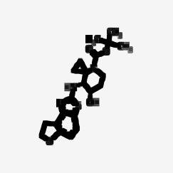 CC(C)(C)OC(=O)N1CC[C@@H](O)[C@H](Nc2nc3c4c(ccc3s2)OCC4)C12CC2